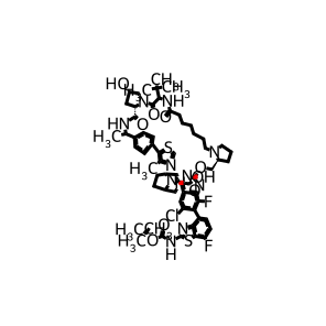 Cc1ncsc1-c1ccc(C(C)NC(=O)[C@@H]2C[C@@H](O)CN2C(=O)C(NC(=O)CCCCCCN2CCC[C@H]2COc2nc(N3C4CCC3CN(C(=O)O)C4)c3cc(Cl)c(-c4ccc(F)c5sc(NC(=O)OC(C)(C)C)nc45)c(F)c3n2)C(C)(C)C)cc1